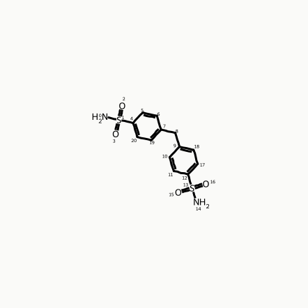 NS(=O)(=O)c1ccc(Cc2ccc(S(N)(=O)=O)cc2)cc1